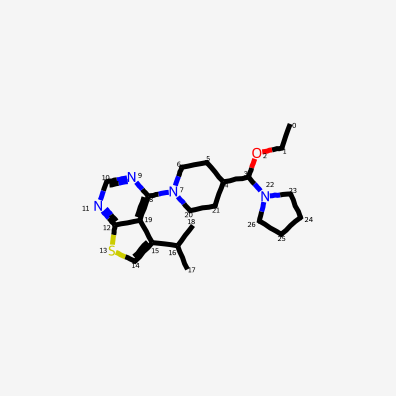 CCOC(C1CCN(c2ncnc3scc(C(C)C)c23)CC1)N1CCCC1